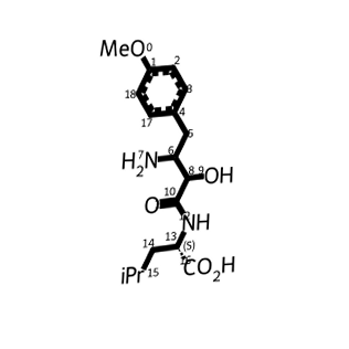 COc1ccc(CC(N)C(O)C(=O)N[C@@H](CC(C)C)C(=O)O)cc1